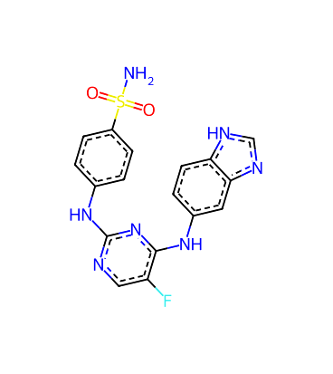 NS(=O)(=O)c1ccc(Nc2ncc(F)c(Nc3ccc4[nH]cnc4c3)n2)cc1